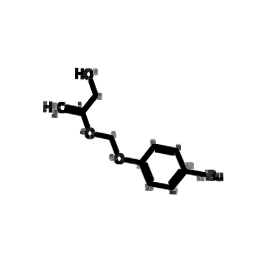 C=C(CO)OCOc1ccc(C(C)CC)cc1